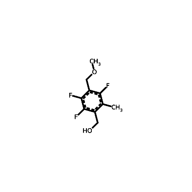 COCc1c(F)c(C)c(CO)c(F)c1F